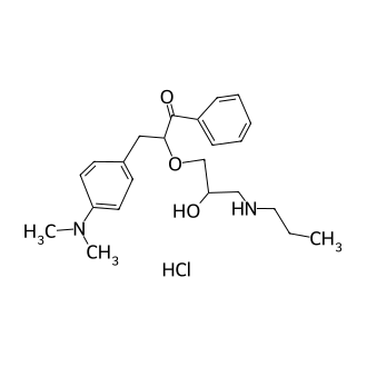 CCCNCC(O)COC(Cc1ccc(N(C)C)cc1)C(=O)c1ccccc1.Cl